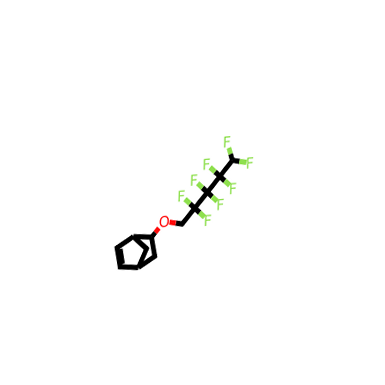 FC(F)C(F)(F)C(F)(F)C(F)(F)COC1CC2C=CC1C2